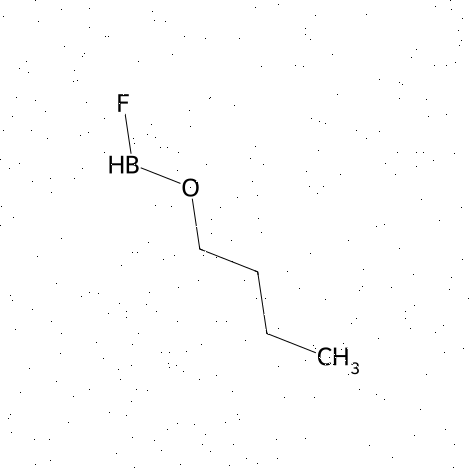 CCCCOBF